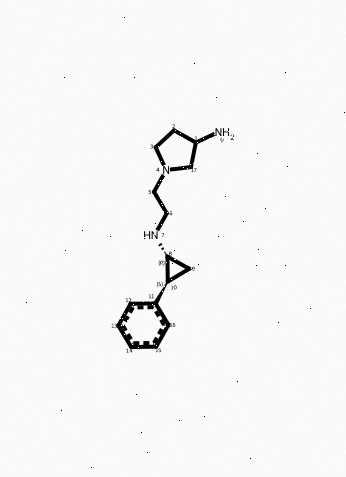 NC1CCN(CCN[C@@H]2C[C@H]2c2ccccc2)C1